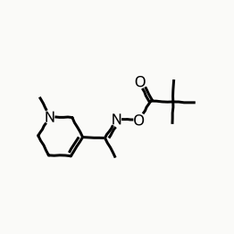 CC(=NOC(=O)C(C)(C)C)C1=CCCN(C)C1